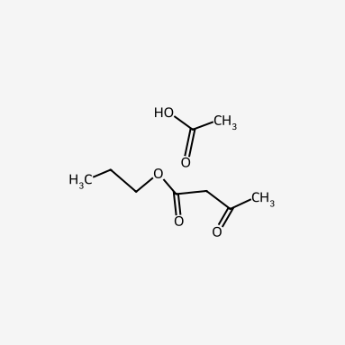 CC(=O)O.CCCOC(=O)CC(C)=O